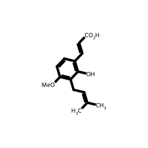 COc1ccc(/C=C/C(=O)O)c(O)c1CC=C(C)C